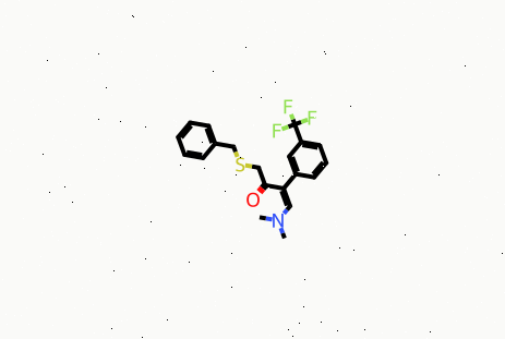 CN(C)/C=C(\C(=O)CSCc1ccccc1)c1cccc(C(F)(F)F)c1